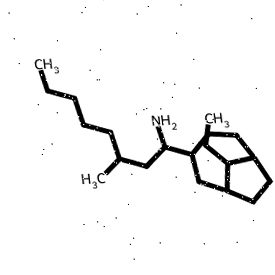 CCCCCC(C)CC(N)C1CCC2CCC(C1)C2CC